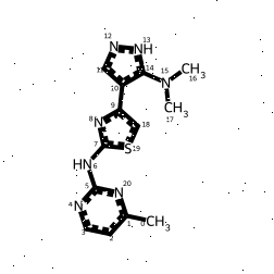 Cc1ccnc(Nc2nc(-c3cn[nH]c3N(C)C)cs2)n1